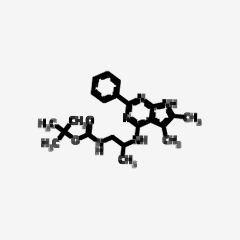 Cc1[nH]c2nc(-c3ccccc3)nc(NC(C)CNC(=O)OC(C)(C)C)c2c1C